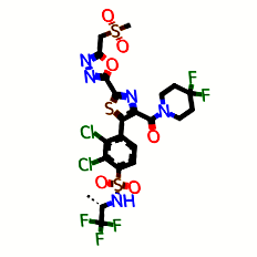 C[C@H](NS(=O)(=O)c1ccc(-c2sc(-c3nnc(CS(C)(=O)=O)o3)nc2C(=O)N2CCC(F)(F)CC2)c(Cl)c1Cl)C(F)(F)F